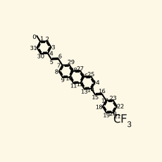 Cc1ccc(/C=C/c2ccc3cc4cc(/C=C/c5ccc(C(F)(F)F)cc5)ccc4cc3c2)cc1